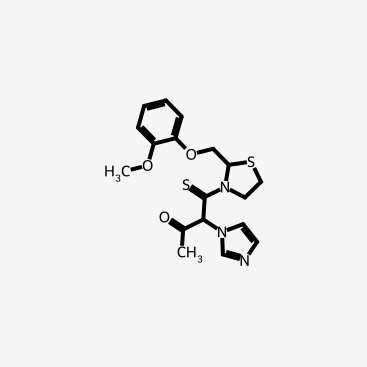 COc1ccccc1OCC1SCCN1C(=S)C(C(C)=O)n1ccnc1